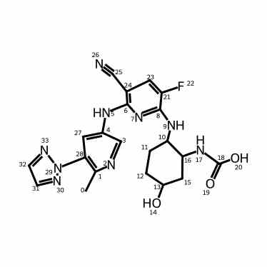 Cc1ncc(Nc2nc(NC3CCC(O)CC3NC(=O)O)c(F)cc2C#N)cc1-n1nccn1